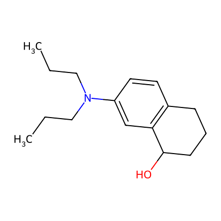 CCCN(CCC)c1ccc2c(c1)C(O)CCC2